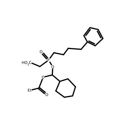 CCC(=O)OC(OP(=O)(CCCCc1ccccc1)CC(=O)O)C1CCCCC1